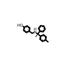 Cc1ccc([C@](C)(NCc2ccc(O)cc2)c2ccccc2)cc1